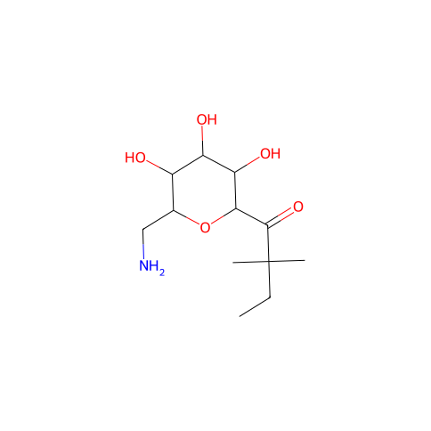 CCC(C)(C)C(=O)C1OC(CN)C(O)C(O)C1O